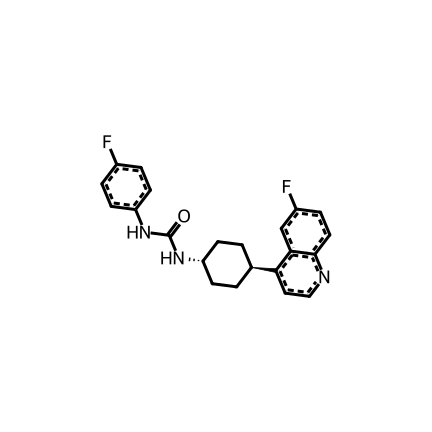 O=C(Nc1ccc(F)cc1)N[C@H]1CC[C@H](c2ccnc3ccc(F)cc32)CC1